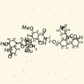 COc1cc(C(=O)NCCCCc2ccc(-c3ccccc3)c(N(C(=O)O)C34CCN(CC3)CC4)c2)c(Cl)cc1CNC[C@@H](O[Si](C)(C)C(C)(C)C)c1ccc(O)c2[nH]c(=O)ccc12